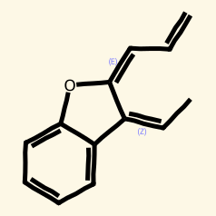 C=C/C=c1/oc2ccccc2/c1=C/C